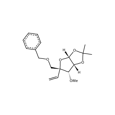 C=C[C@]1(COCc2ccccc2)O[C@@H]2OC(C)(C)O[C@@H]2[C@@H]1OC